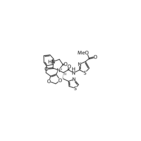 COC(=O)c1csc(NC(=O)[C@H](Cc2cscn2)[N+]2(C3=C(Cc4ccccc4)OCO3)C(=O)CNC2=O)n1